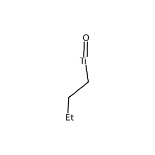 CCC[CH2][Ti]=[O]